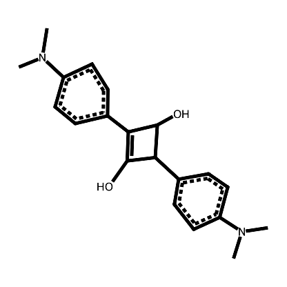 CN(C)c1ccc(C2=C(O)C(c3ccc(N(C)C)cc3)C2O)cc1